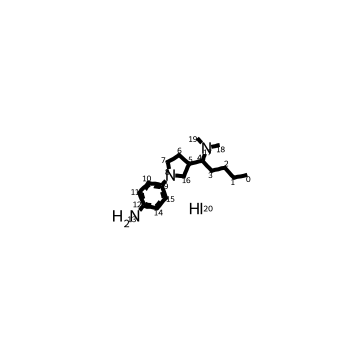 CCCCC(C1CCN(c2ccc(N)cc2)C1)N(C)C.I